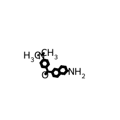 CN(C)c1ccc(C(=O)c2ccc3cc(N)ccc3c2)cc1